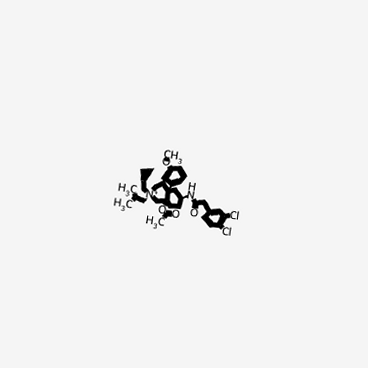 COc1cccc([C@]23CC[N@+](CC(C)C)(CC4CC4)CC2(OC(C)=O)CC[C@H](NC(=O)Cc2ccc(Cl)c(Cl)c2)C3)c1